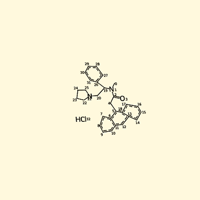 CN(C(=O)Cc1c2ccccc2cc2ccccc12)C(CN1CCCC1)c1ccccc1.Cl